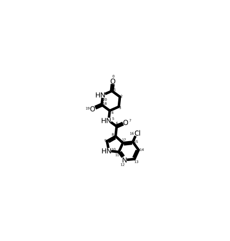 O=C1CCC(NC(=O)c2c[nH]c3nccc(Cl)c23)C(=O)N1